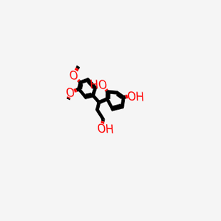 COc1ccc(C(CCO)c2ccc(O)cc2O)cc1OC